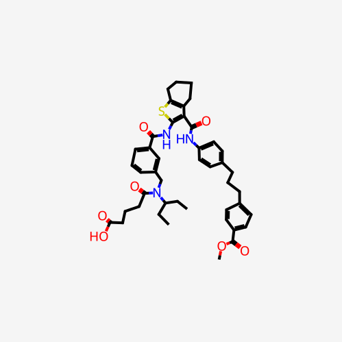 CCC(CC)N(Cc1cccc(C(=O)Nc2sc3c(c2C(=O)Nc2ccc(CCCc4ccc(C(=O)OC)cc4)cc2)CCCC3)c1)C(=O)CCCC(=O)O